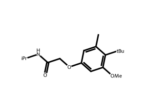 COc1cc(OCC(=O)NC(C)C)cc(C)c1C(C)(C)C